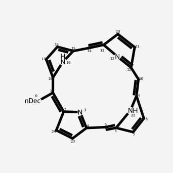 CCCCCCCCCCc1c2nc(cc3ccc(cc4nc(cc5ccc1[nH]5)C=C4)[nH]3)C=C2